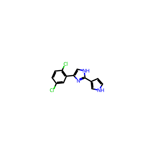 Clc1ccc(Cl)c(-c2c[nH]c(-c3cc[nH]c3)n2)c1